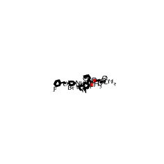 CC(OCCS(C)(=O)=O)C1(c2cc3c(Nc4ccc(OCc5cccc(F)c5)c(Br)c4)ncnc3cc2F)CC=CO1